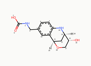 O=C(O)NCc1ccc2c(c1)[C@H]1C[C@@H](N2)[C@H](O)CO1